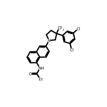 CCC(=O)Nc1cccc2cc(N3CCC(c4cc(Cl)cc(Cl)c4)(C(F)(F)F)C3)ccc12